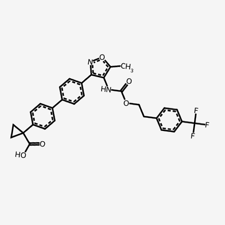 Cc1onc(-c2ccc(-c3ccc(C4(C(=O)O)CC4)cc3)cc2)c1NC(=O)OCCc1ccc(C(F)(F)F)cc1